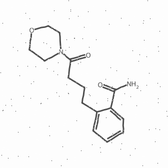 NC(=O)c1ccccc1C[CH]CC(=O)N1CCOCC1